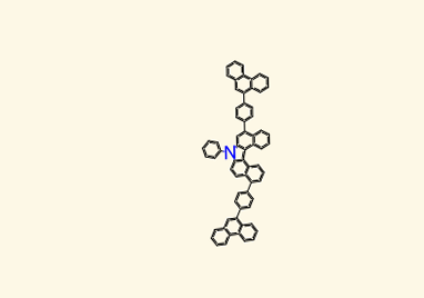 c1ccc(-n2c3ccc4c(-c5ccc(-c6cc7ccccc7c7ccccc67)cc5)cccc4c3c3c4ccccc4c(-c4ccc(-c5cc6ccccc6c6ccccc56)cc4)cc32)cc1